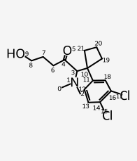 CN(C)C(C(=O)CCCO)C1(c2ccc(Cl)c(Cl)c2)CCC1